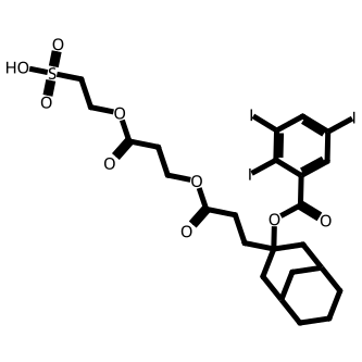 O=C(CCOC(=O)CCC1(OC(=O)c2cc(I)cc(I)c2I)CC2CCCC(C2)C1)OCCS(=O)(=O)O